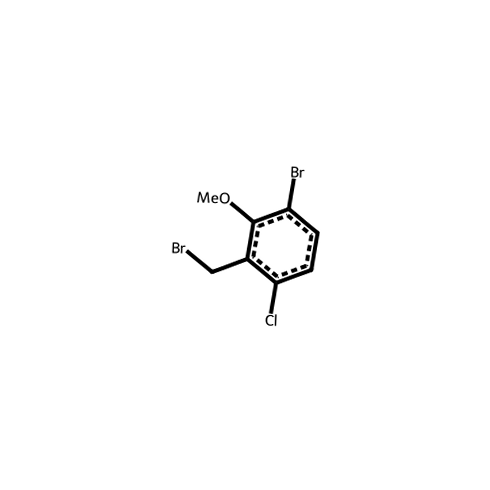 COc1c(Br)ccc(Cl)c1CBr